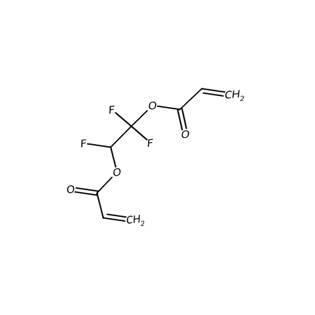 C=CC(=O)OC(F)C(F)(F)OC(=O)C=C